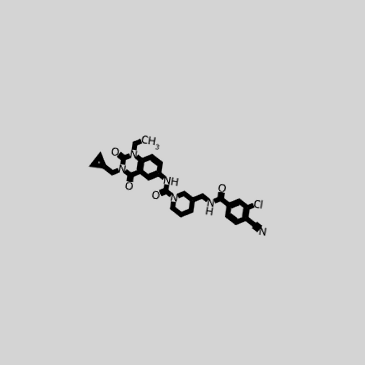 CCn1c(=O)n(CC2CC2)c(=O)c2cc(NC(=O)N3CCCC(CNC(=O)c4ccc(C#N)c(Cl)c4)C3)ccc21